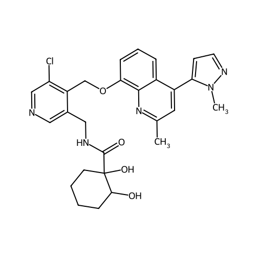 Cc1cc(-c2ccnn2C)c2cccc(OCc3c(Cl)cncc3CNC(=O)C3(O)CCCCC3O)c2n1